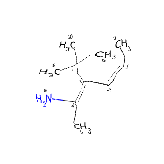 C/C=C\C(=C(/C)N)C(C)(C)C